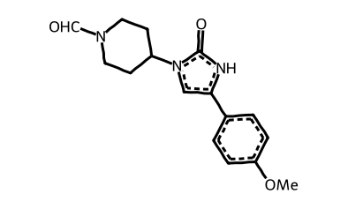 COc1ccc(-c2cn(C3CCN(C=O)CC3)c(=O)[nH]2)cc1